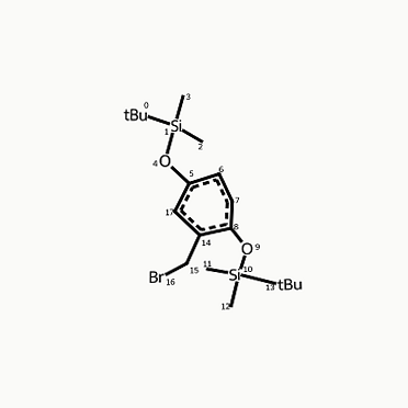 CC(C)(C)[Si](C)(C)Oc1ccc(O[Si](C)(C)C(C)(C)C)c(CBr)c1